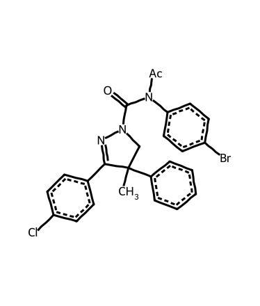 CC(=O)N(C(=O)N1CC(C)(c2ccccc2)C(c2ccc(Cl)cc2)=N1)c1ccc(Br)cc1